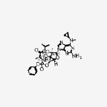 CC(C)OC(=O)[C@H](C)NP(=O)(Oc1ccccc1)OC1[C@H]2O[C@@H](n3cnc4c(N(C)C5CC5)nc(N)nc43)[C@](C)(O)[C@@]12O